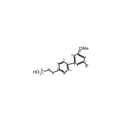 COc1cc(F)cc(-c2ccc(CCC(=O)O)cc2)c1